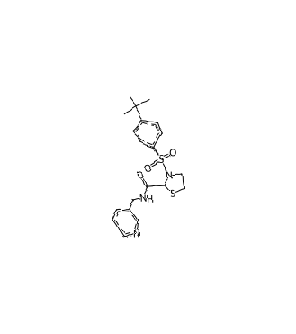 CC(C)(C)c1ccc(S(=O)(=O)N2CCSC2C(=O)NCc2cccnc2)cc1